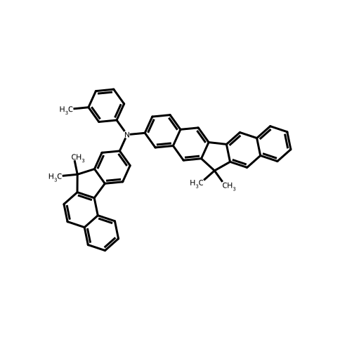 Cc1cccc(N(c2ccc3c(c2)C(C)(C)c2ccc4ccccc4c2-3)c2ccc3cc4c(cc3c2)C(C)(C)c2cc3ccccc3cc2-4)c1